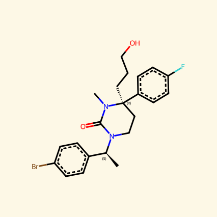 C[C@@H](c1ccc(Br)cc1)N1CC[C@](CCCO)(c2ccc(F)cc2)N(C)C1=O